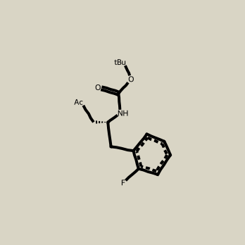 CC(=O)C[C@@H](Cc1ccccc1F)NC(=O)OC(C)(C)C